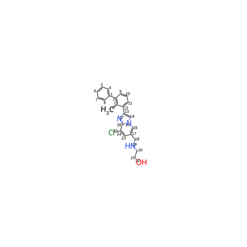 Cc1c(-c2ccccc2)cccc1-c1cn2cc(CNCCO)cc(Cl)c2n1